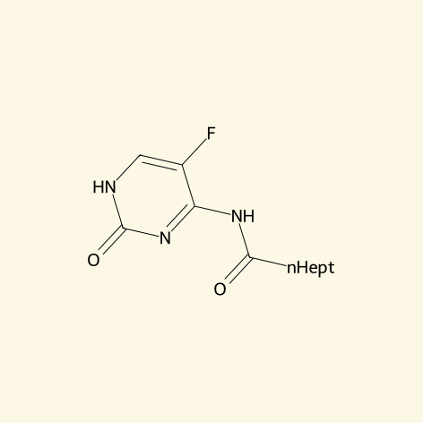 CCCCCCCC(=O)Nc1nc(=O)[nH]cc1F